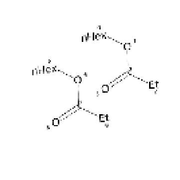 CCCCCCOC(=O)CC.CCCCCCOC(=O)CC